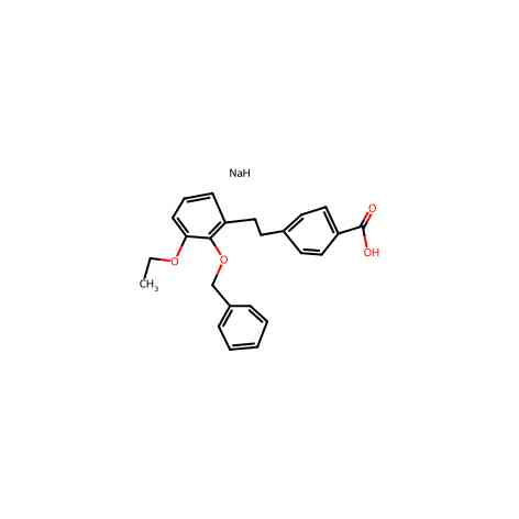 CCOc1cccc(CCc2ccc(C(=O)O)cc2)c1OCc1ccccc1.[NaH]